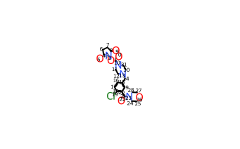 O=C(ON1C(=O)CCC1=O)N1CCN(Cc2ccc(Cl)c(C(=O)N3CCOCC3)c2)CC1